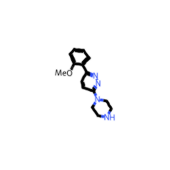 COc1ccccc1-c1ccc(N2CCNCC2)nn1